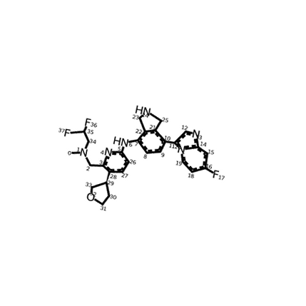 CN(Cc1nc(Nc2ccc(-c3cnc4cc(F)ccn34)c3c2CNC3)ccc1[C@H]1CCOC1)CC(F)F